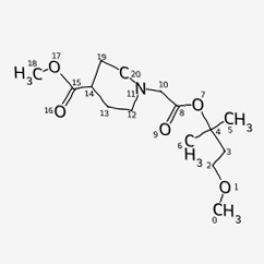 COCCC(C)(C)OC(=O)CN1CCC(C(=O)OC)CC1